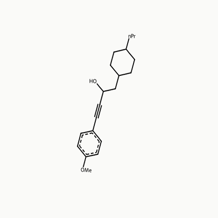 CCCC1CCC(CC(O)C#Cc2ccc(OC)cc2)CC1